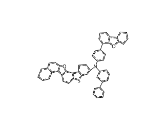 c1ccc(-c2cccc(N(c3ccc(-c4cccc5c4oc4ccccc45)cc3)c3ccc4c(c3)sc3ccc5c(oc6ccc7ccccc7c65)c34)c2)cc1